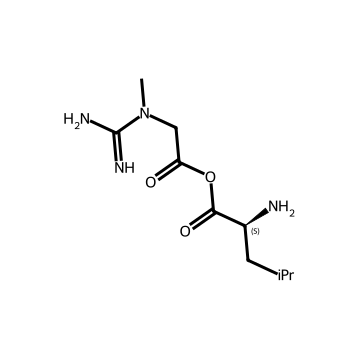 CC(C)C[C@H](N)C(=O)OC(=O)CN(C)C(=N)N